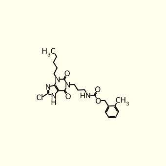 CCCCCn1c(=O)n(CCCNC(=O)OCc2ccccc2C)c(=O)c2[nH]c(Cl)nc21